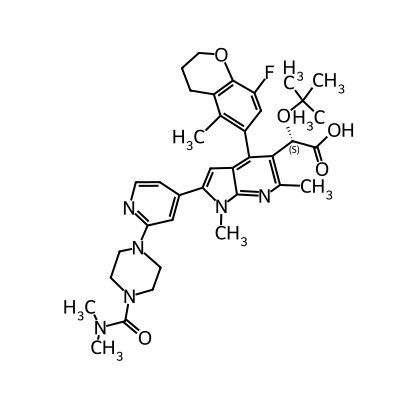 Cc1nc2c(cc(-c3ccnc(N4CCN(C(=O)N(C)C)CC4)c3)n2C)c(-c2cc(F)c3c(c2C)CCCO3)c1[C@H](OC(C)(C)C)C(=O)O